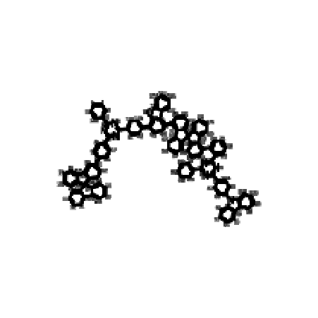 c1ccc(-c2nc(-c3ccc(-c4ccc5c(c4)-c4ccccc4C54c5ccccc5-c5ccccc54)cc3)nc(-c3ccc(-c4ccc(-c5cccc6c5-c5ccccc5C65c6ccccc6-c6c(-c7ccccc7-c7nc(-c8ccccc8)nc(-c8ccc(-n9c%10ccccc%10c%10ccccc%109)cc8)n7)cccc65)c5c4oc4ccccc45)cc3)n2)cc1